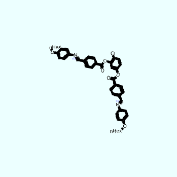 CCCCCCOc1ccc(/N=C/c2ccc(C(=O)Oc3ccc(Cl)c(OC(=O)c4ccc(/C=N/c5ccc(OCCCCCC)cc5)cc4)c3)cc2)cc1